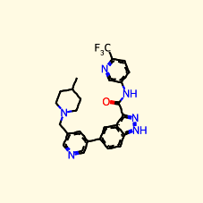 CC1CCN(Cc2cncc(-c3ccc4[nH]nc(C(=O)Nc5ccc(C(F)(F)F)nc5)c4c3)c2)CC1